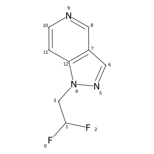 FC(F)Cn1ncc2cnccc21